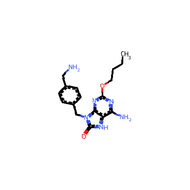 CCCCOc1nc(N)c2[nH]c(=O)n(Cc3ccc(CN)cc3)c2n1